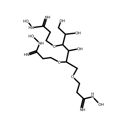 N=C(CCOCC(OCCC(=N)NO)C(O)C(OCCC(=N)NO)C(O)CO)NO